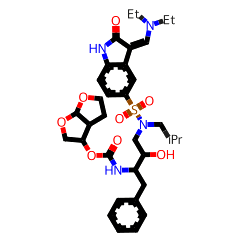 CCN(C=C1C(=O)Nc2ccc(S(=O)(=O)N(CC(C)C)CC(O)C(Cc3ccccc3)NC(=O)OC3COC4OCCC34)cc21)CC